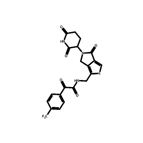 O=C1CCC(N2Cc3c(csc3CNC(=O)C(=O)c3ccc(C(F)(F)F)cc3)C2=O)C(=O)N1